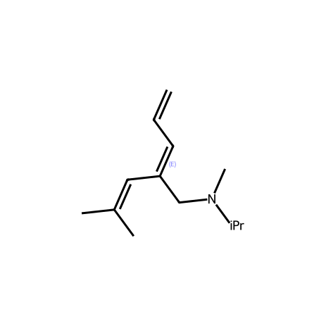 C=C/C=C(\C=C(C)C)CN(C)C(C)C